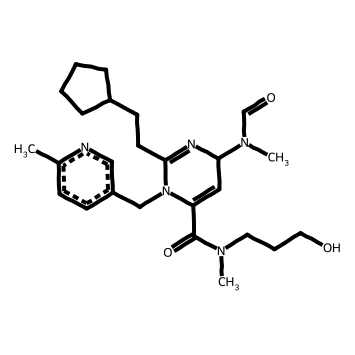 Cc1ccc(CN2C(C(=O)N(C)CCCO)=CC(N(C)C=O)N=C2CCC2CCCC2)cn1